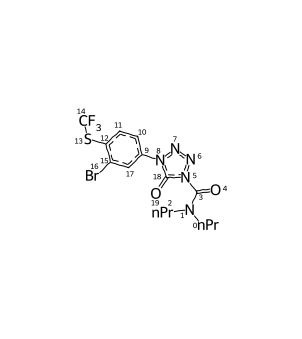 CCCN(CCC)C(=O)n1nnn(-c2ccc(SC(F)(F)F)c(Br)c2)c1=O